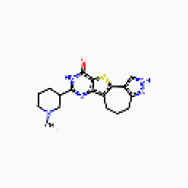 CN1CCCC(c2nc3c4c(sc3c(=O)[nH]2)-c2c[nH]nc2CCC4)C1